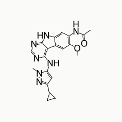 COc1cc2c(cc1NC(C)=O)[nH]c1ncnc(Nc3cc(C4CC4)nn3C)c12